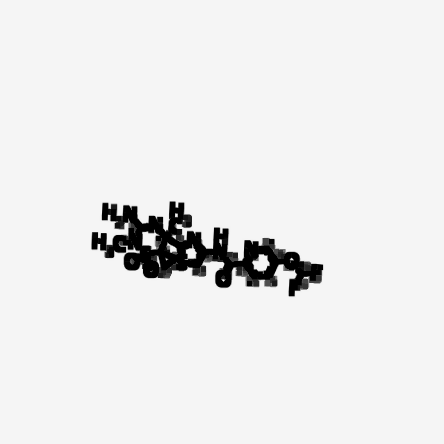 CN1C(N)=N[C@](C)(c2nc(NC(=O)c3ccc(OC(F)F)cn3)cs2)C2(CC2)S1(=O)=O